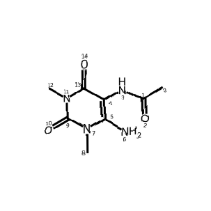 CC(=O)Nc1c(N)n(C)c(=O)n(C)c1=O